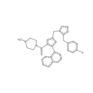 CN1CCN(C(=O)c2cn(Cc3cncn3Cc3ccc(F)cc3)cc2-c2cccc3ccccc23)CC1